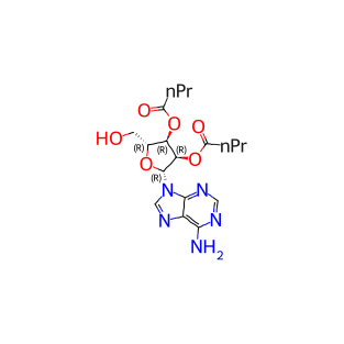 CCCC(=O)O[C@@H]1[C@H](OC(=O)CCC)[C@@H](CO)O[C@H]1n1cnc2c(N)ncnc21